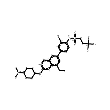 CCc1cc(-c2ccc(NS(=O)(=O)CCC(F)(F)F)c(F)c2)cc2cnc(NC3CCC(N(C)C)CC3)nc12